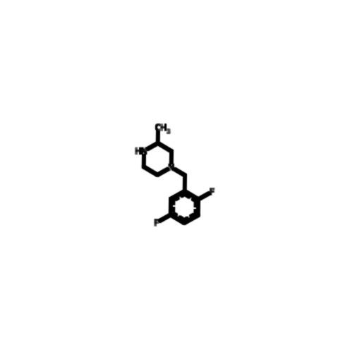 CC1CN(Cc2cc(F)ccc2F)CCN1